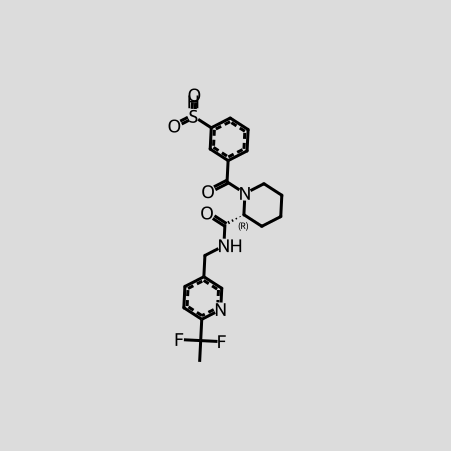 CC(F)(F)c1ccc(CNC(=O)[C@H]2CCCCN2C(=O)c2cccc([SH](=O)=O)c2)cn1